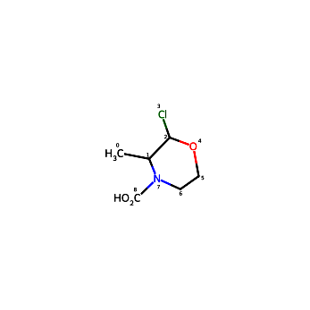 CC1C(Cl)OCCN1C(=O)O